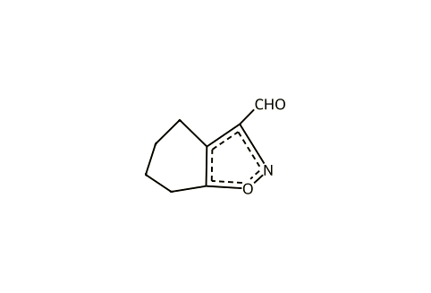 O=Cc1noc2c1CCCC2